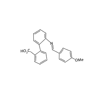 COc1ccc(/C=N/c2ccccc2-c2ccccc2C(=O)O)cc1